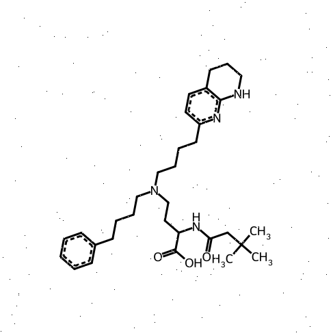 CC(C)(C)CC(=O)NC(CCN(CCCCc1ccccc1)CCCCc1ccc2c(n1)NCCC2)C(=O)O